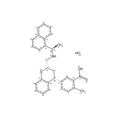 Cc1ccc([C@H]2C[C@@H](CN[C@H](C)c3cccc4ccccc34)Oc3ccccc32)cc1C(=O)O.Cl